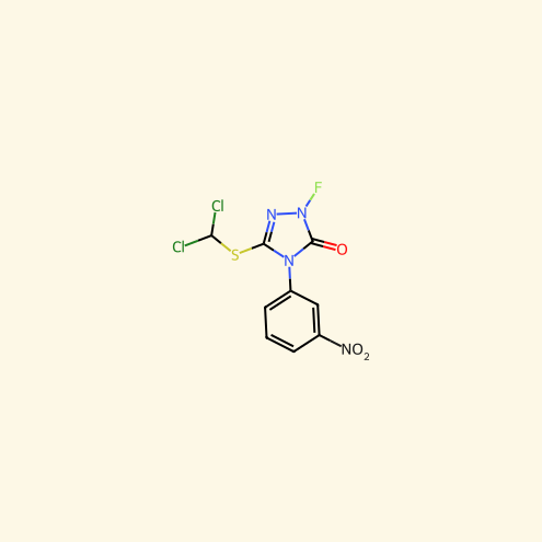 O=c1n(F)nc(SC(Cl)Cl)n1-c1cccc([N+](=O)[O-])c1